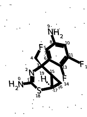 NC1=N[C@](CF)(c2cc(N)cc(F)c2F)C2C[C@H]2S1